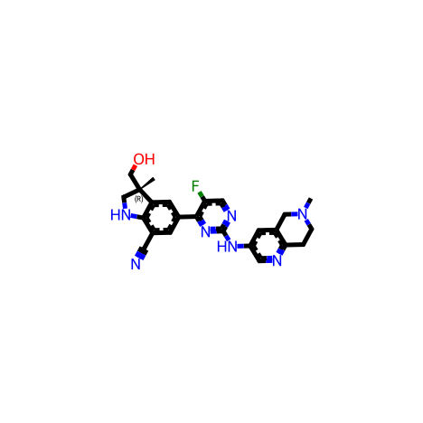 CN1CCc2ncc(Nc3ncc(F)c(-c4cc(C#N)c5c(c4)[C@@](C)(CO)CN5)n3)cc2C1